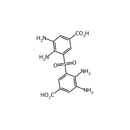 Nc1cc(C(=O)O)cc(S(=O)(=O)c2cc(C(=O)O)cc(N)c2N)c1N